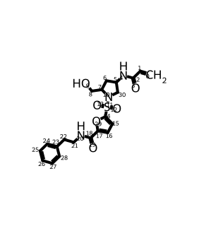 C=CC(=O)NC1CC(CO)N(S(=O)(=O)c2ccc(C(=O)NCCc3ccccc3)o2)C1